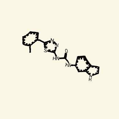 Cc1ccccc1-c1nnc(NC(=O)Nc2ccc3cc[nH]c3c2)s1